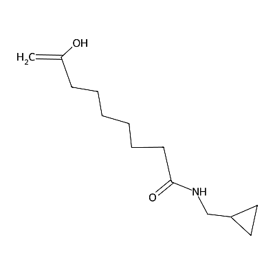 C=C(O)CCCCCCC(=O)NCC1CC1